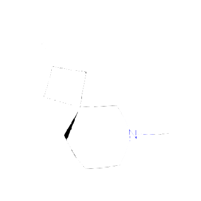 CN1CCC[C@]2(C1)C[C@@H](C)C2